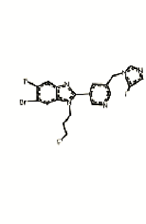 FCCCn1c(-c2cncc(Cn3cncc3F)c2)nc2cc(F)c(Br)cc21